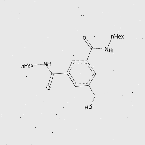 CCCCCCNC(=O)c1cc(CO)cc(C(=O)NCCCCCC)c1